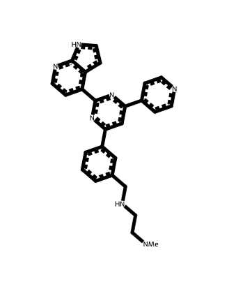 CNCCNCc1cccc(-c2cc(-c3ccncc3)nc(-c3ccnc4[nH]ccc34)n2)c1